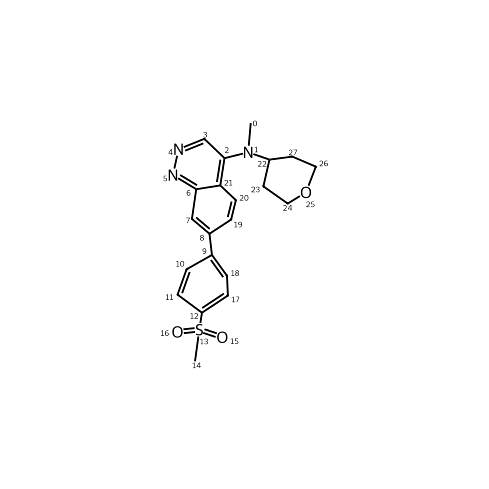 CN(c1cnnc2cc(-c3ccc(S(C)(=O)=O)cc3)ccc12)C1CCOCC1